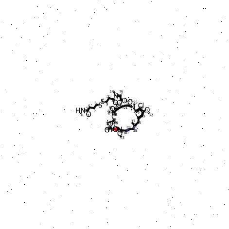 CNC(=O)CCCSSCCC(=O)N(C)[C@H](C)C(=O)O[C@@H]1CC(=O)N(C)c2cc(cc(OC)c2Cl)C/C(C)=C/C=C/[C@H](OC)[C@]2(O)C[C@H](C[C@H]3O[C@]13C)OC(=O)N2